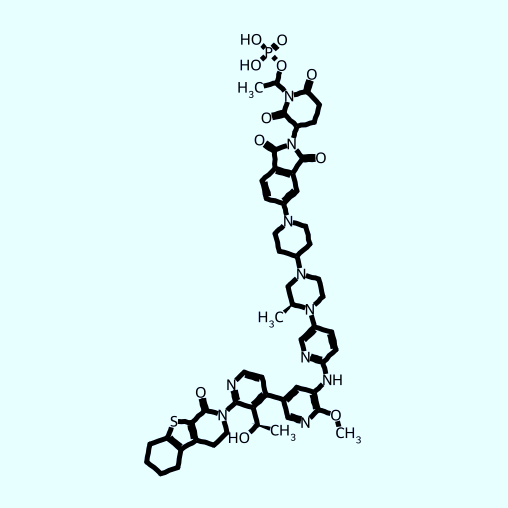 COc1ncc(-c2ccnc(N3CCc4c(sc5c4CCCC5)C3=O)c2[C@@H](C)O)cc1Nc1ccc(N2CCN(C3CCN(c4ccc5c(c4)C(=O)N(C4CCC(=O)N(C(C)OP(=O)(O)O)C4=O)C5=O)CC3)C[C@@H]2C)cn1